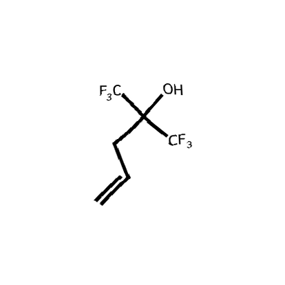 C=CCC(O)(C(F)(F)F)C(F)(F)F